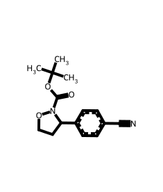 CC(C)(C)OC(=O)N1OCCC1c1ccc(C#N)cc1